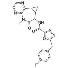 CN1C(=O)C(NC(=O)c2nnc(Cc3ccc(F)cc3)o2)C2CC2c2nccnc21